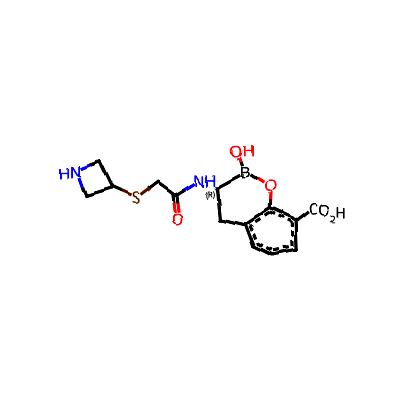 O=C(CSC1CNC1)N[C@H]1Cc2cccc(C(=O)O)c2OB1O